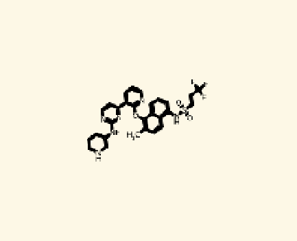 Cc1ccc2c(NS(=O)(=O)CCC(F)(F)F)cccc2c1Oc1ncccc1-c1ccnc(NC2CCCNC2)n1